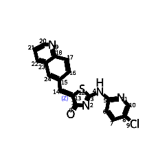 O=C1N=C(Nc2ccc(Cl)cn2)S/C1=C\c1ccc2ncccc2c1